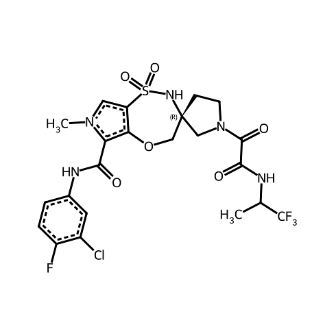 CC(NC(=O)C(=O)N1CC[C@]2(COc3c(cn(C)c3C(=O)Nc3ccc(F)c(Cl)c3)S(=O)(=O)N2)C1)C(F)(F)F